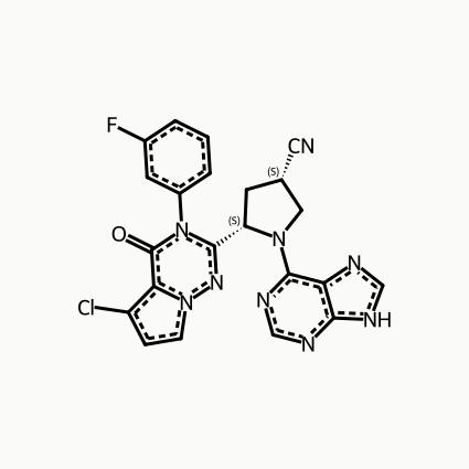 N#C[C@H]1C[C@@H](c2nn3ccc(Cl)c3c(=O)n2-c2cccc(F)c2)N(c2ncnc3[nH]cnc23)C1